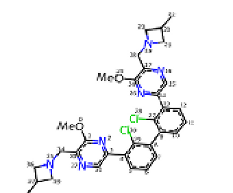 COc1nc(-c2cccc(-c3cccc(-c4cnc(CN5CC(C)C5)c(OC)n4)c3Cl)c2Cl)cnc1CN1CC(C)C1